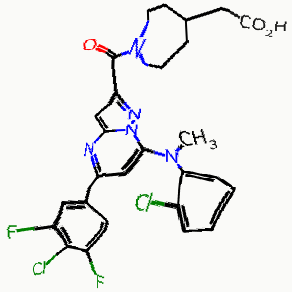 CN(c1ccccc1Cl)c1cc(-c2cc(F)c(Cl)c(F)c2)nc2cc(C(=O)N3CCC(CC(=O)O)CC3)nn12